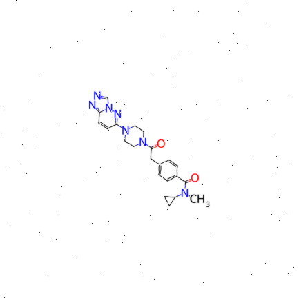 CN(C(=O)c1ccc(CC(=O)N2CCN(c3ccc4nncn4n3)CC2)cc1)C1CC1